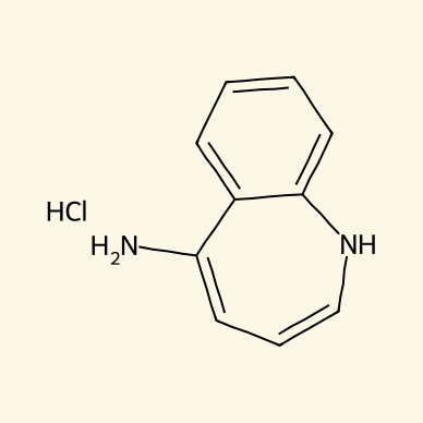 Cl.NC1=CC=CNc2ccccc21